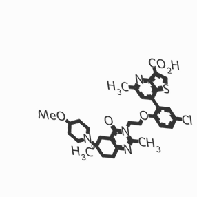 COC1CCN([C@]2(C)CCc3nc(C)n(CCOc4ccc(Cl)cc4-c4cc(C)nc5c(C(=O)O)csc45)c(=O)c3C2)CC1